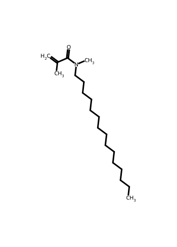 C=C(C)C(=O)N(C)CCCCCCCCCCCCCCC